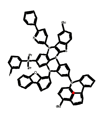 CC(C)S(c1cccc(F)c1)(c1cc2c3c(c1)N(c1cccc4c1oc1ccccc14)c1cc(N(c4ccc(C(C)(C)C)cc4)c4ccccc4-c4ccccc4)ccc1B3c1sc3ccc(C(C)(C)C)cc3c1N2c1ccc(-c2ccccc2)nc1)C(C)C